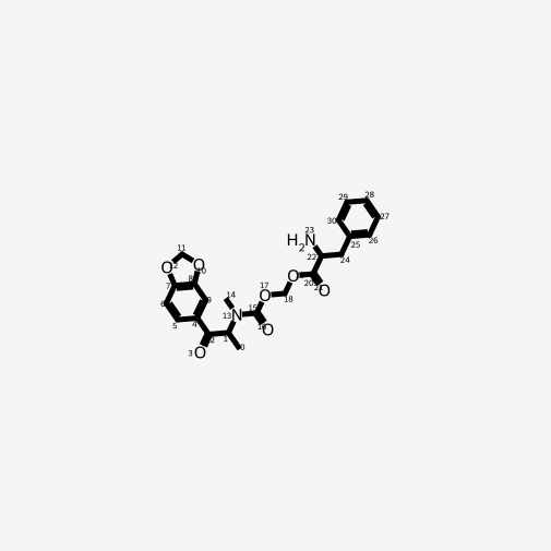 CC(C(=O)c1ccc2c(c1)OCO2)N(C)C(=O)OCOC(=O)C(N)Cc1ccccc1